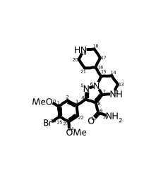 COc1cc(-c2nn3c(c2C(N)=O)NCCC3C2CCNCC2)cc(OC)c1Br